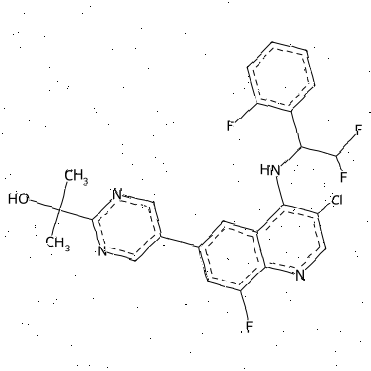 CC(C)(O)c1ncc(-c2cc(F)c3ncc(Cl)c(NC(c4ccccc4F)C(F)F)c3c2)cn1